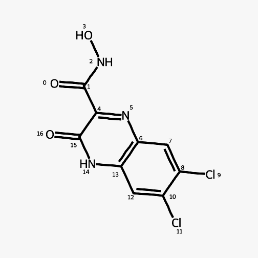 O=C(NO)c1nc2cc(Cl)c(Cl)cc2[nH]c1=O